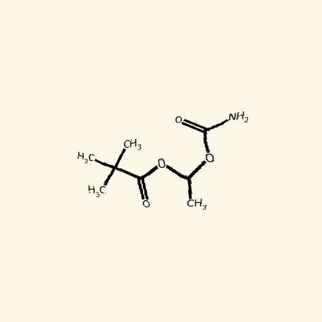 CC(OC(N)=O)OC(=O)C(C)(C)C